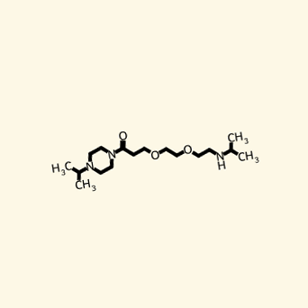 CC(C)NCCOCCOCCC(=O)N1CCN(C(C)C)CC1